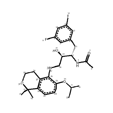 CC(=O)N[C@@H](Cc1cc(F)cc(F)c1)[C@H](O)CNc1c(OC(C)C)ccc2c1CCOC2(C)C